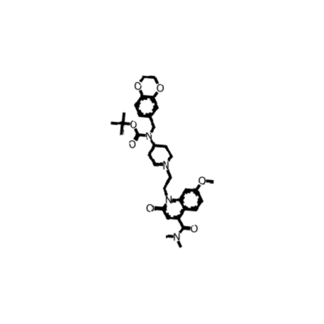 COc1ccc2c(C(=O)N(C)C)cc(=O)n(CCN3CCC(N(Cc4ccc5c(c4)OCCO5)C(=O)OC(C)(C)C)CC3)c2c1